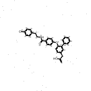 C=C(O)Cc1ccc(Oc2ccc(C(=O)NCCc3ccc(Cl)cc3)cc2)c(-c2ccccc2)c1